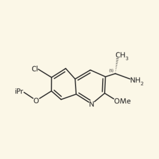 COc1nc2cc(OC(C)C)c(Cl)cc2cc1[C@H](C)N